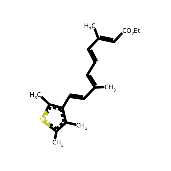 CCOC(=O)C=C(C)C=CC=C(C)C=Cc1c(C)sc(C)c1C